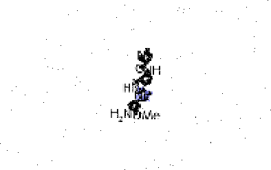 COc1cc(C2=N/C(N[C@@H](C)c3cccc(NC(=O)c4ccc(C)nc4)c3)=C\C=C\C=C\2)ccc1N